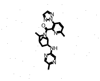 Cc1cnc(NC2CC3CC2N(C(=O)c2nc(C)ccc2-n2nccn2)C3C)cn1